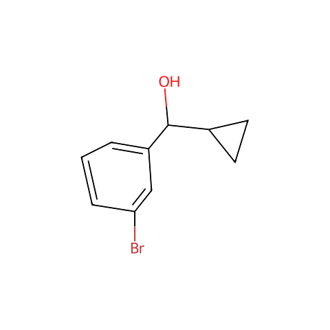 OC(c1cccc(Br)c1)C1CC1